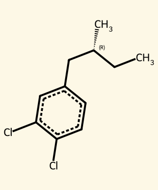 CC[C@@H](C)Cc1ccc(Cl)c(Cl)c1